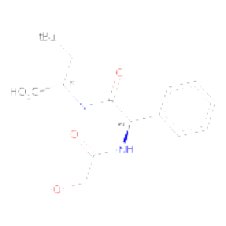 CC(C)(C)C[C@H](NC(=O)[C@H](NC(=O)C[O])c1ccccc1)C(=O)O